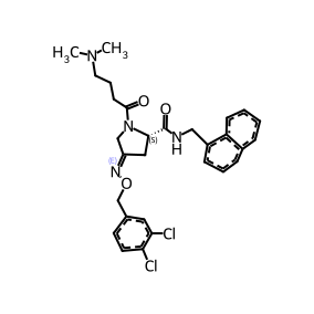 CN(C)CCCC(=O)N1C/C(=N/OCc2ccc(Cl)c(Cl)c2)C[C@H]1C(=O)NCc1cccc2ccccc12